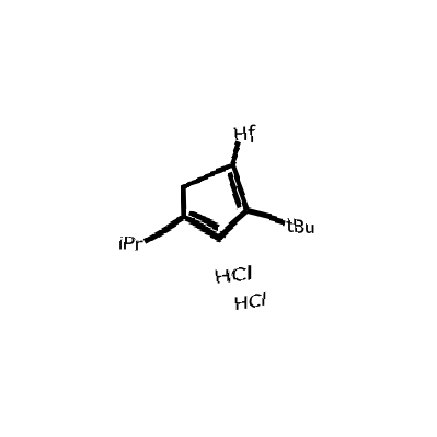 CC(C)C1=CC(C(C)(C)C)=[C]([Hf])C1.Cl.Cl